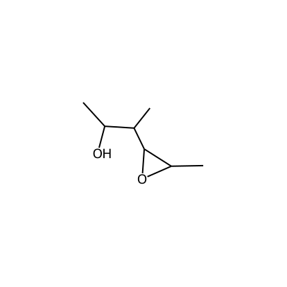 CC(O)C(C)C1OC1C